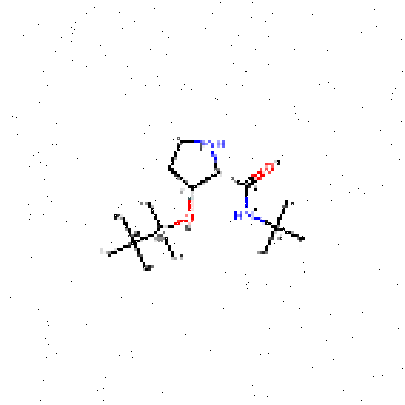 CC(C)(C)NC(=O)[C@H]1NCC[C@@H]1O[Si](C)(C)C(C)(C)C